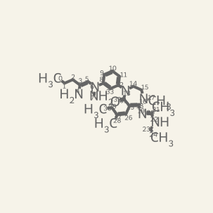 CCC/C(N)=C/N(N)c1cccc(N2CCN(C)C(/N=C(\C)NCC)=C(/C=C(/C)CC)C2=O)c1